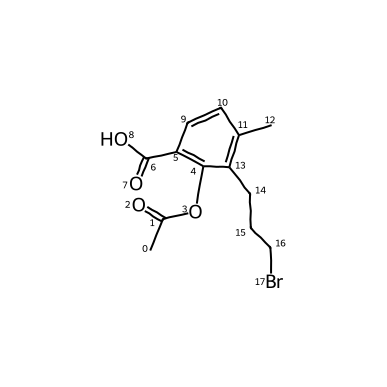 CC(=O)Oc1c(C(=O)O)ccc(C)c1CCCBr